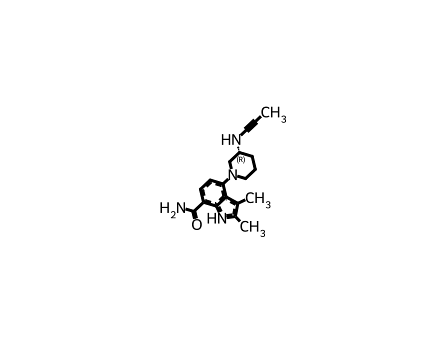 CC#CN[C@@H]1CCCN(c2ccc(C(N)=O)c3[nH]c(C)c(C)c23)C1